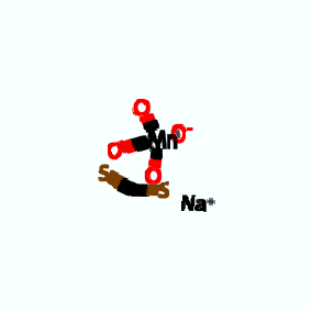 S=C=S.[Na+].[O]=[Mn](=[O])(=[O])[O-]